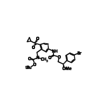 CO[C@@H](COC(=O)Nc1ccc(S(=O)(=O)C2CC2)c(CN(C)C(=O)OC(C)(C)C)c1)c1ccc(Br)cc1